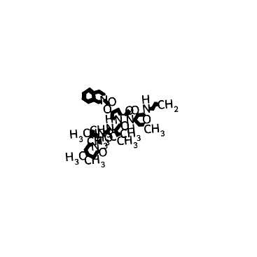 C=CCNC(=O)C(=O)C(CCC)NC(=O)[C@@H]1C[C@@H](OC(=O)N2CCc3ccccc3C2)CN1C(=O)[C@@H](NC(=O)N[C@H](CN1CCC(C)(C)CC1=O)C(C)(C)C)C(C)(C)C